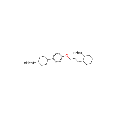 CCCCCCCC1CCC(c2ccc(OCCCC3CCCCC3CCCCCC)cc2)CC1